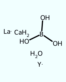 O.OB(O)O.[CaH2].[La].[Y]